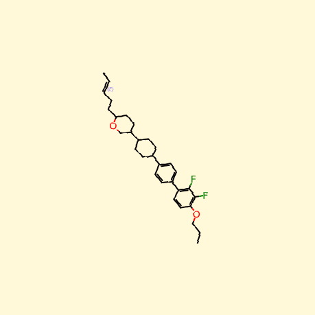 C/C=C/CCC1CCC(C2CCC(c3ccc(-c4ccc(OCCC)c(F)c4F)cc3)CC2)CO1